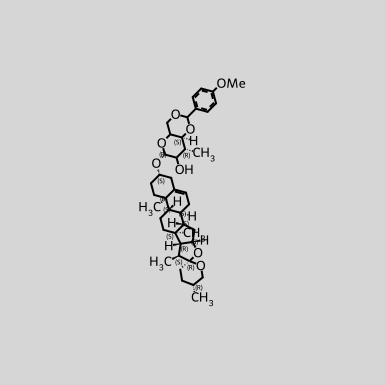 COc1ccc(C2OCC3O[C@@H](O[C@H]4CC[C@@]5(C)C(=CC[C@H]6[C@@H]7C[C@@H]8O[C@]9(CC[C@@H](C)CO9)[C@@H](C)[C@@H]8[C@@]7(C)CC[C@@H]65)C4)C(O)[C@@H](C)[C@@H]3O2)cc1